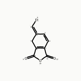 CCC=C1C=CC2=C(C1)C(=O)OC2=O